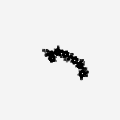 COc1cc(-c2cn(C)c(=O)c3ccccc23)cc(F)c1CN1CCC(N(C)C(=O)C2CCN(c3ccc(NC4CCC(=O)NC4=O)cc3C(F)(F)F)CC2)CC1